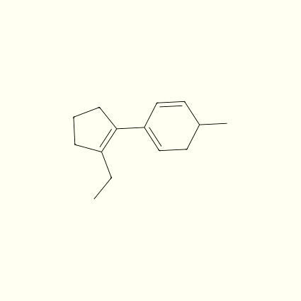 CCC1=C(C2=CCC(C)C=C2)CCC1